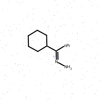 CCC/C(=N\N)C1CCCCC1